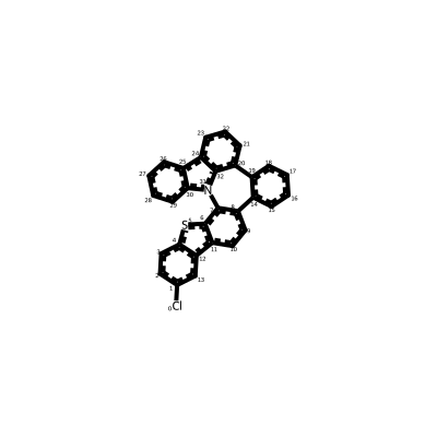 Clc1ccc2sc3c4c(ccc3c2c1)-c1ccccc1-c1cccc2c3ccccc3n-4c12